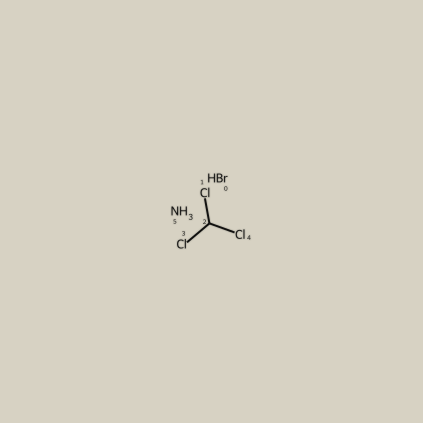 Br.ClC(Cl)Cl.N